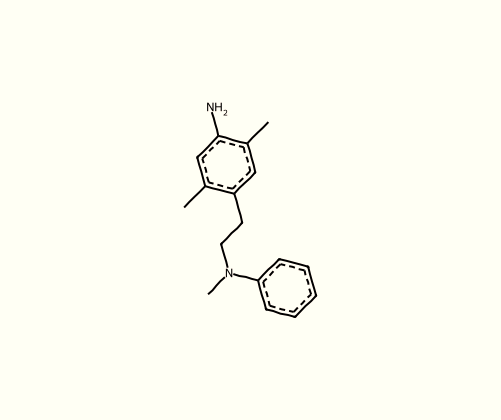 Cc1cc(CCN(C)c2ccccc2)c(C)cc1N